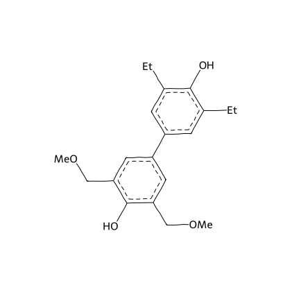 CCc1cc(-c2cc(COC)c(O)c(COC)c2)cc(CC)c1O